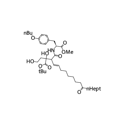 CCCCCCCC(=O)CCCCCC/C=C/C(C(=O)N[C@@H](Cc1ccc(OCCCC)cc1)C(=O)OC)C(O)(CCO)C(=O)OC(C)(C)C